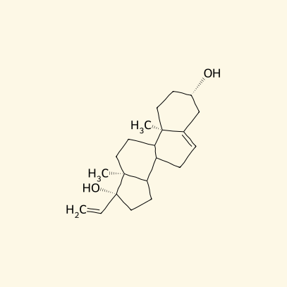 C=C[C@]1(O)CCC2C3CC=C4C[C@@H](O)CC[C@]4(C)C3CC[C@@]21C